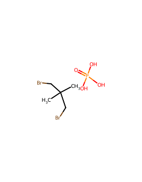 CC(C)(CBr)CBr.O=P(O)(O)O